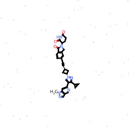 Cn1ncc2cnc(-c3cn([C@H]4C[C@H](C#Cc5ccc6c(c5)CN(C5CCC(=O)NC5=O)C6=O)C4)nc3C3CC3)cc21